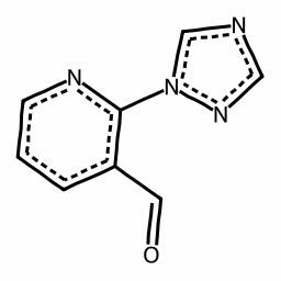 O=Cc1cccnc1-n1cncn1